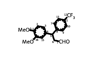 COc1ccc(C(CC=O)c2ccc(C(F)(F)F)cc2)cc1OC